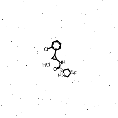 Cl.O=C(NC1CC1c1ccccc1Cl)[C@@H]1C[C@@H](F)CN1